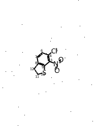 O=[N+]([O-])c1c(Cl)ccc2c1SCC2